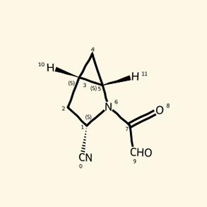 N#C[C@@H]1C[C@@H]2C[C@@H]2N1C(=O)C=O